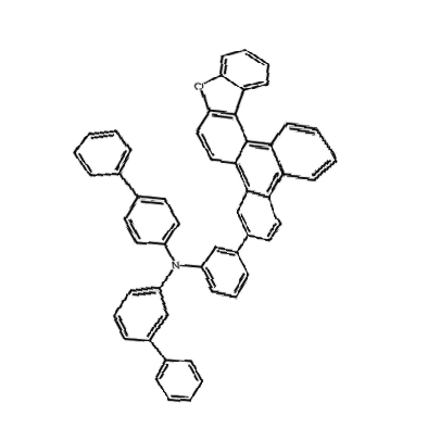 c1ccc(-c2ccc(N(c3cccc(-c4ccccc4)c3)c3cccc(-c4ccc5c6ccccc6c6c(ccc7oc8ccccc8c76)c5c4)c3)cc2)cc1